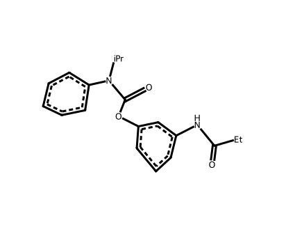 CCC(=O)Nc1cccc(OC(=O)N(c2ccccc2)C(C)C)c1